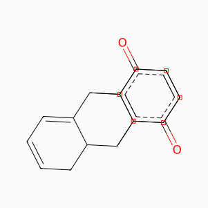 O=C1C=CC(=O)C2=C1C1C3=CC=CCC3C2c2ccccc21